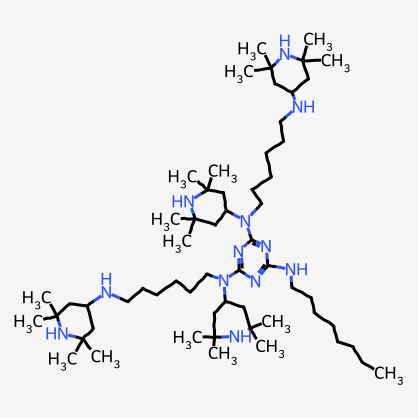 CCCCCCCCNc1nc(N(CCCCCCNC2CC(C)(C)NC(C)(C)C2)C2CC(C)(C)NC(C)(C)C2)nc(N(CCCCCCNC2CC(C)(C)NC(C)(C)C2)C2CC(C)(C)NC(C)(C)C2)n1